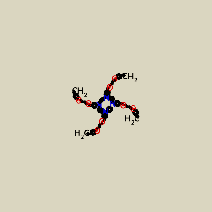 C=Cc1ccc(OCCCCOCc2ccc(-n3c4ccc(cc4)n(-c4ccc(COCCCCOc5ccc(C=C)cc5)cc4)c4cccc(c4)n(-c4ccc(COCCCCOc5ccc(C=C)cc5)cc4)c4ccc(cc4)n(-c4ccc(COCCCCOc5ccc(C=C)cc5)cc4)c4cccc3c4)cc2)cc1